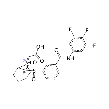 O=C(O)/C=C1\CC2CCC1[C@@H]2S(=O)(=O)c1cccc(C(=O)Nc2cc(F)c(F)c(F)c2)c1